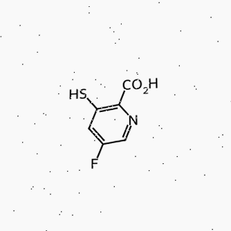 O=C(O)c1ncc(F)cc1S